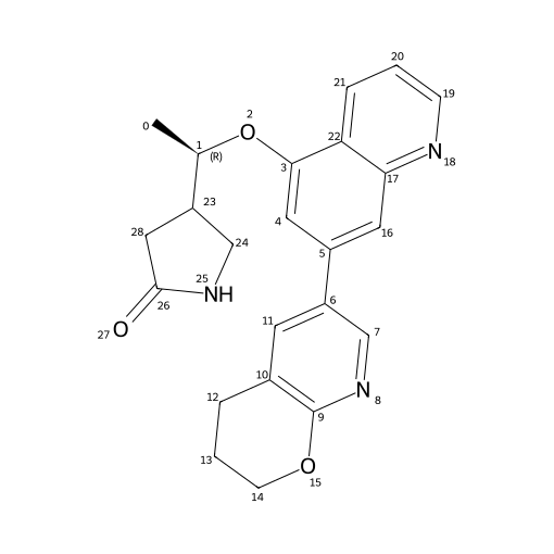 C[C@@H](Oc1cc(-c2cnc3c(c2)CCCO3)cc2ncccc12)C1CNC(=O)C1